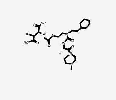 CC(=O)SCCN(CCC1CCCCC1)C(=O)N[C@@H](C)C(=O)N1CCN(C)CC1.O=C(O)C(O)C(O)C(=O)O